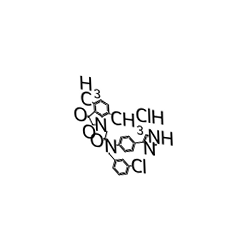 Cc1ccc(C)c2c1C(=O)C(=O)N2CC(=O)N(Cc1cccc(Cl)c1)c1ccc(-c2c[nH]cn2)cc1.Cl